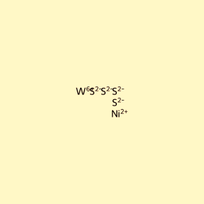 [Ni+2].[S-2].[S-2].[S-2].[S-2].[W+6]